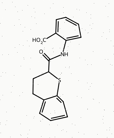 O=C(O)c1ccccc1NC(=O)C1CCc2ccccc2S1